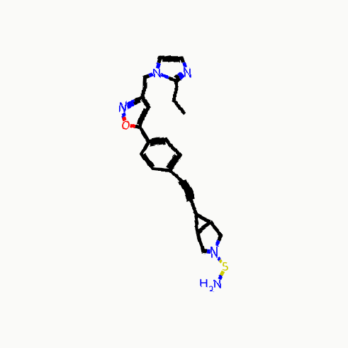 CCc1nccn1Cc1cc(-c2ccc(C#CC3C4CN(SN)CC34)cc2)on1